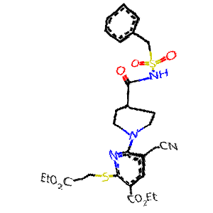 CCOC(=O)CSc1nc(N2CCC(C(=O)NS(=O)(=O)Cc3ccccc3)CC2)c(C#N)cc1C(=O)OCC